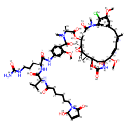 COc1cc(NC(=O)[C@H](CCCNC(N)=O)NC(=O)[C@@H](NC(=O)CCCCCN2C(=O)C=CC2O)C(C)C)ccc1C(=O)N(C)[C@@H](C)C(=O)O[C@H]1CC(=O)N(C)c2cc(cc(OC)c2Cl)C/C(C)=C/C=C/[C@@H](OC)[C@@]2(O)C[C@H](OC(=O)N2)[C@@H](C)[C@@H]2O[C@@]12C